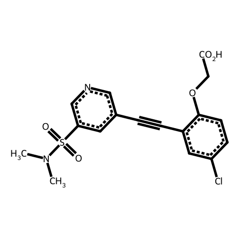 CN(C)S(=O)(=O)c1cncc(C#Cc2cc(Cl)ccc2OCC(=O)O)c1